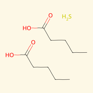 CCCCC(=O)O.CCCCC(=O)O.S